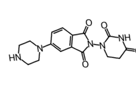 O=C1CCN(N2C(=O)c3ccc(N4CCNCC4)cc3C2=O)C(=O)N1